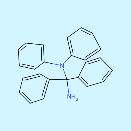 NC(c1ccccc1)(c1ccccc1)N(c1ccccc1)c1ccccc1